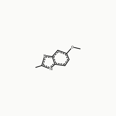 COc1ccc2[te]c(C)nc2c1